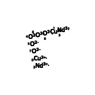 [Cu+2].[Cu+2].[Nd+3].[Nd+3].[O-2].[O-2].[O-2].[O-2].[O-2]